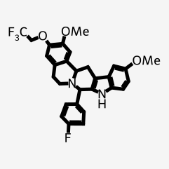 COc1ccc2[nH]c3c(c2c1)CC1c2cc(OC)c(OCC(F)(F)F)cc2CCN1C3c1ccc(F)cc1